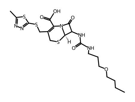 CCCCOCCCNC(=O)NC1C(=O)N2C(C(=O)O)=C(CSc3nnc(C)s3)CS[C@H]12